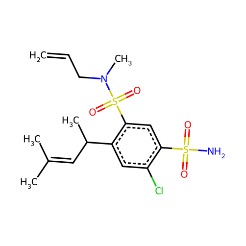 C=CCN(C)S(=O)(=O)c1cc(S(N)(=O)=O)c(Cl)cc1C(C)C=C(C)C